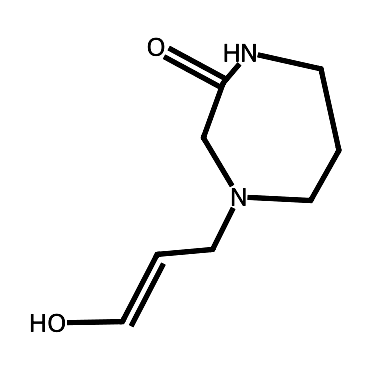 O=C1CN(CC=CO)CCCN1